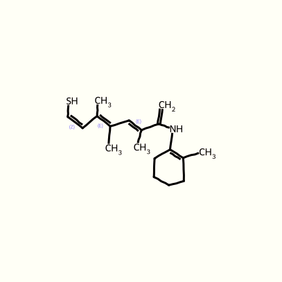 C=C(NC1=C(C)CCCC1)/C(C)=C/C(C)=C(C)/C=C\S